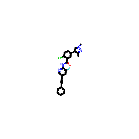 Cc1nn(C)cc1-c1ccc(Cl)c(C(=O)Nc2ncc(C#Cc3ccccc3)cc2F)c1